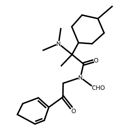 CC1CCC(C(C)(C(=O)N(C=O)CC(=O)C2=CCCC=C2)N(C)C)CC1